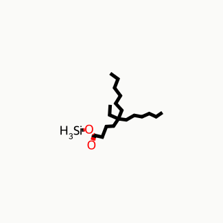 CCCCCCC(CC)(CCCCCC)CCCC(=O)O[SiH3]